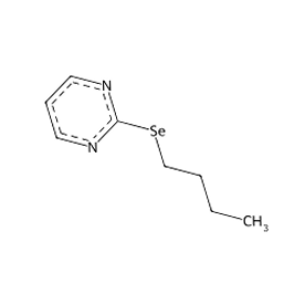 CCCC[Se]c1ncccn1